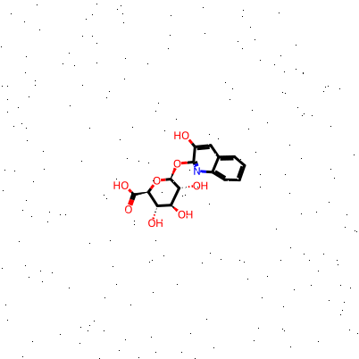 O=C(O)[C@H]1O[C@@H](Oc2nc3ccccc3cc2O)[C@H](O)[C@@H](O)[C@@H]1O